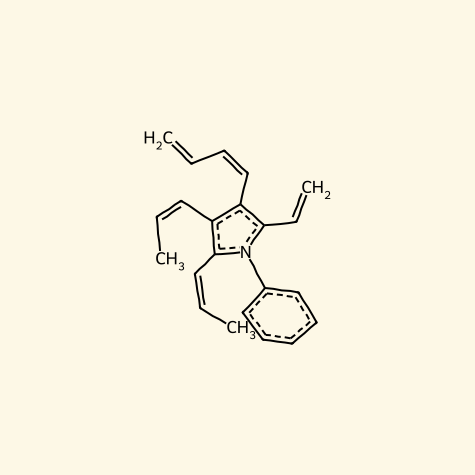 C=C/C=C\c1c(/C=C\C)c(/C=C\C)n(-c2ccccc2)c1C=C